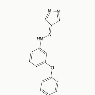 C1=NN=CC1=NNc1cccc(Oc2ccccc2)c1